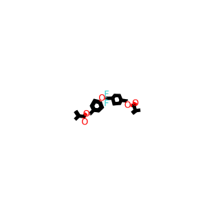 C=C(C)C(=O)OCc1ccc(OC(F)(F)C2CCC(COC(=O)C(=C)C)CC2)cc1